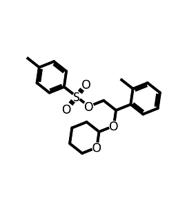 Cc1ccc(S(=O)(=O)OCC(OC2CCCCO2)c2ccccc2C)cc1